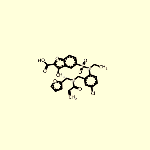 C=CC(=O)N(Cc1ccco1)Cc1cc(Cl)ccc1N(CC)S(=O)(=O)c1ccc2oc(C(=O)O)c(C)c2c1